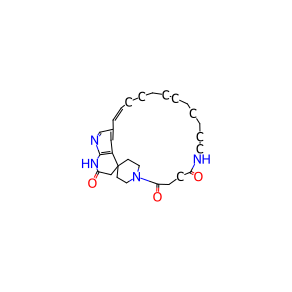 O=C1CCC(=O)N2CCC3(CC2)CC(=O)Nc2ncc(cc23)C=CCCCCCCCCCCN1